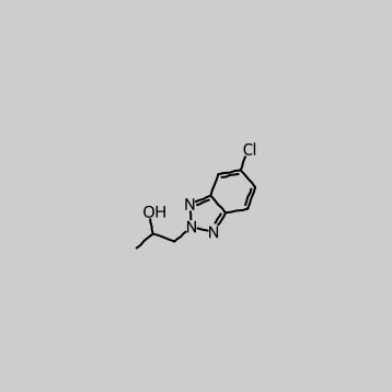 CC(O)Cn1nc2ccc(Cl)cc2n1